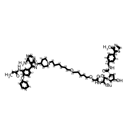 C=CC(=O)Nc1cc(-c2nn(C3CCN(CCCCCCOCCCCCOCC(=O)NC(C(=O)N4C[C@H](O)C[C@H]4C(=O)NCc4ccc(-c5scnc5C)cc4)C(C)(C)C)CC3)c3ncnc(N)c23)ccc1Oc1ccccc1